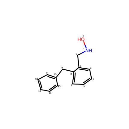 ONCc1ccccc1Cc1ccccc1